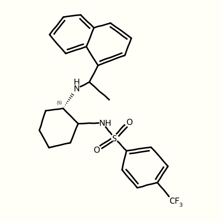 CC(N[C@H]1CCCCC1NS(=O)(=O)c1ccc(C(F)(F)F)cc1)c1cccc2ccccc12